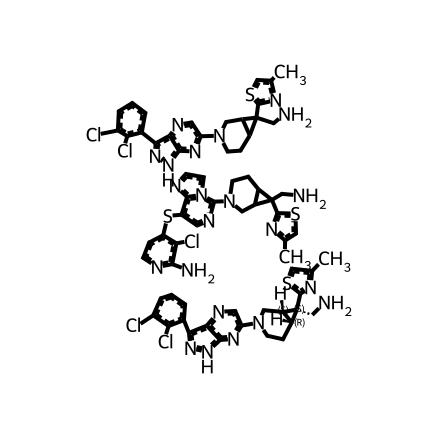 Cc1csc(C2(CN)C3CCN(c4cnc5c(-c6cccc(Cl)c6Cl)n[nH]c5n4)CC32)n1.Cc1csc(C2(CN)C3CCN(c4ncc(Sc5ccnc(N)c5Cl)c5nccn45)CC32)n1.Cc1csc([C@@]2(CN)[C@@H]3CCN(c4cnc5c(-c6cccc(Cl)c6Cl)n[nH]c5n4)C[C@@H]32)n1